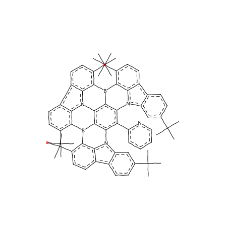 CC(C)(C)c1ccc2c3ccc(C(C)(C)C)c4c3n(c2c1)-c1c2c3c5c(c1-c1ccccn1)-n1c6cc(C(C)(C)C)ccc6c6ccc(C(C)(C)C)c(c61)B5c1c(C(C)(C)C)ccc5c6ccc(C(C)(C)C)c(c6n-3c15)B24